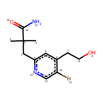 CC(C)(Cc1cc(CCO)c(Br)cn1)C(N)=O